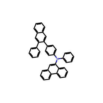 c1ccc(-c2cc3ccccc3cc2-c2ccc(N(c3ccccc3)c3cc4ccccc4c4ccccc34)cc2)cc1